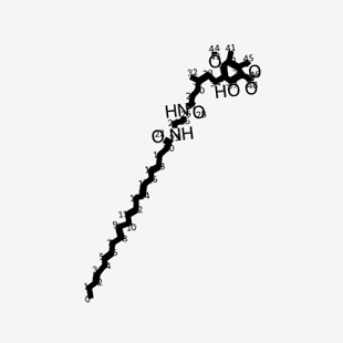 CCC=CCC=CCC=CCC=CCC=CCC=CCCC(=O)NCCNC(=O)CCC(C)=CCc1c(O)c2c(c(C)c1OC)COC2=O